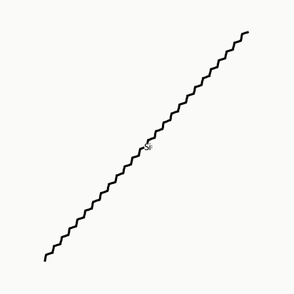 CCCCCCCCCCCCCCCCCCCCCCCCCC[Si]CCCCCCCCCCCCCCCCCCCCCCCCCC